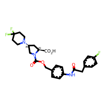 O=C(Cc1ccc(F)cc1)Nc1ccc(COC(=O)N2C[C@H](N3CCC(F)(F)CC3)C[C@H]2C(=O)O)cc1